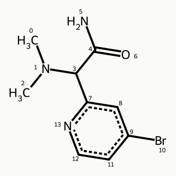 CN(C)C(C(N)=O)c1cc(Br)ccn1